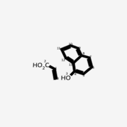 C=CC(=O)O.Oc1cccc2ccccc12